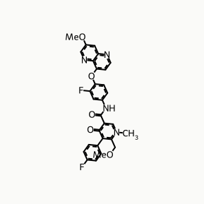 COCc1c(-c2ccc(F)cc2)c(=O)c(C(=O)Nc2ccc(Oc3ccnc4cc(OC)cnc34)c(F)c2)cn1C